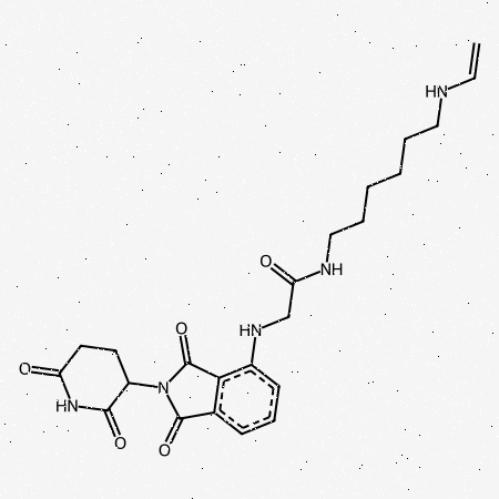 C=CNCCCCCCNC(=O)CNc1cccc2c1C(=O)N(C1CCC(=O)NC1=O)C2=O